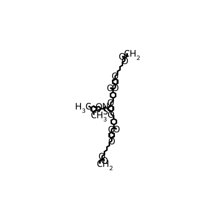 C=CC(=O)OCCCCCCOc1ccc(OC(=O)C2CCC(COc3ccc(OCC4CCC(C(=O)Oc5ccc(OCCCCCCOC(=O)C=C)cc5)CC4)c4sc(-c5cc6c(C)cc(C)cc6o5)nc34)CC2)cc1